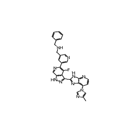 Cc1cn(-c2ccnc3[nH]c(-c4n[nH]c5cnc(-c6cncc(CNCc7ccccc7)c6)c(F)c45)nc23)cn1